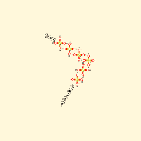 O=S(=O)([O-])[O-].O=S(=O)([O-])[O-].O=S(=O)([O-])[O-].O=S(=O)([O-])[O-].O=S(=O)([O-])[O-].O=S(=O)([O-])[O-].[K+].[K+].[K+].[K+].[K+].[K+].[K+].[K+].[K+].[K+].[K+].[K+]